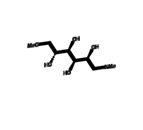 CNC[C@H](O)[C@@H](O)[C@H](O)[C@H](O)COC